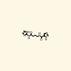 O=C(CCCNC(=O)c1cnn[nH]1)Nc1nnn[nH]1